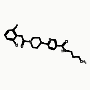 CCCCNC(=O)c1ccc(N2CCN(C(=O)Cc3c(F)cccc3Cl)CC2)nc1